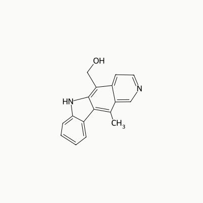 Cc1c2cnccc2c(CO)c2[nH]c3ccccc3c12